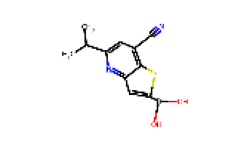 CC(C)c1cc(C#N)c2sc(B(O)O)cc2n1